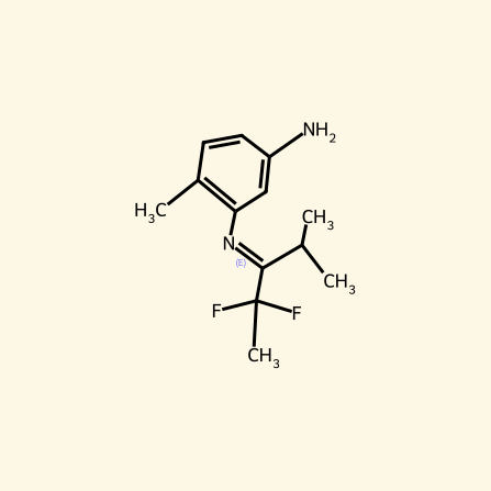 Cc1ccc(N)cc1/N=C(\C(C)C)C(C)(F)F